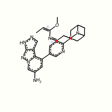 C/C=C(\N=C/CCN1C2CC1CN(c1ccc(-c3cc(N)cn4nc5[nH]ncc5c34)cn1)C2)OC